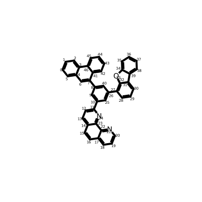 c1ccc2c(c1)cc(-c1cc(-c3ccc4ccc5cccnc5c4n3)cc(-c3cccc4c3oc3ccccc34)c1)c1ccccc12